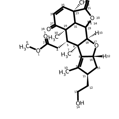 COC(=O)C[C@H]1[C@]2(C)C3=C(C)[C@H](CCO)C[C@H]3O[C@@H]2[C@@H]2OC(=O)[C@]3(C)C=CC(=O)[C@@]1(C)C23